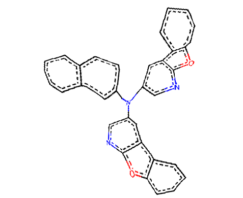 c1ccc2cc(N(c3cnc4oc5ccccc5c4c3)c3cnc4oc5ccccc5c4c3)ccc2c1